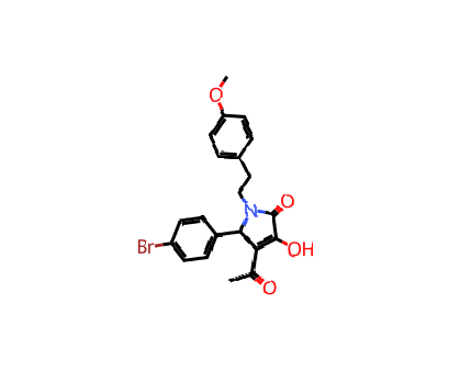 COc1ccc(CCN2C(=O)C(O)=C(C(C)=O)C2c2ccc(Br)cc2)cc1